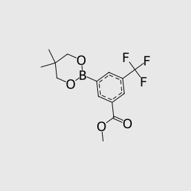 COC(=O)c1cc(B2OCC(C)(C)CO2)cc(C(F)(F)F)c1